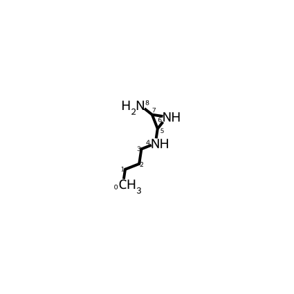 CCCCNC1NC1N